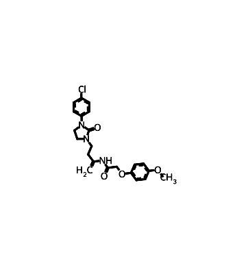 C=C(CCN1CCN(c2ccc(Cl)cc2)C1=O)NC(=O)COc1ccc(OC)cc1